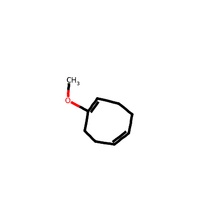 COC1=CCCC=CCC1